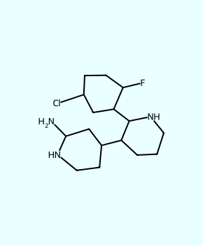 NC1CC(C2CCCNC2C2CC(Cl)CCC2F)CCN1